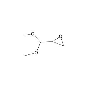 COC(OC)C1CO1